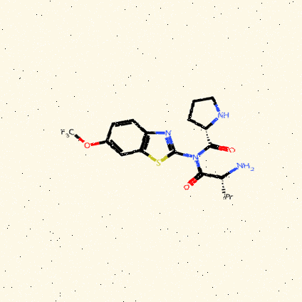 CC(C)[C@@H](N)C(=O)N(C(=O)[C@@H]1CCCN1)c1nc2ccc(OC(F)(F)F)cc2s1